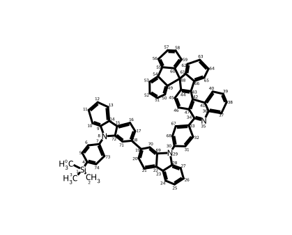 C[Si](C)(C)c1ccc(-n2c3ccccc3c3ccc(-c4ccc5c6ccccc6n(-c6ccc(-c7nc8ccccc8c8c9c(ccc78)C7(c8ccccc8-c8ccccc87)c7ccccc7-9)cc6)c5c4)cc32)cc1